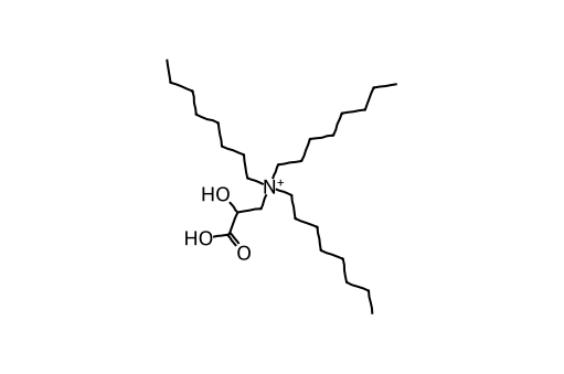 CCCCCCCC[N+](CCCCCCCC)(CCCCCCCC)CC(O)C(=O)O